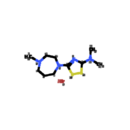 Br.CN1CCCN(C2=NC(N(C)C)SS2)CC1